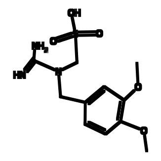 COc1ccc(CN(CS(=O)(=O)O)C(=N)N)cc1OC